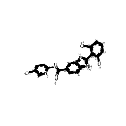 O=C(Nc1ccc(Cl)cn1)c1ccc2[nH]c(-c3c(Cl)cccc3Cl)nc2c1